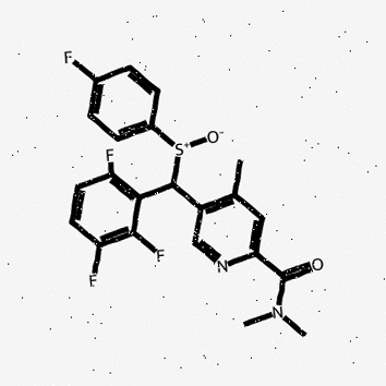 Cc1cc(C(=O)N(C)C)ncc1C(c1c(F)ccc(F)c1F)[S+]([O-])c1ccc(F)cc1